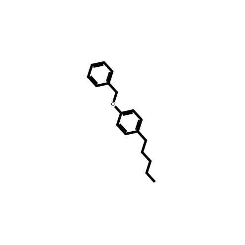 [CH2]CCCCc1ccc(OCc2ccccc2)cc1